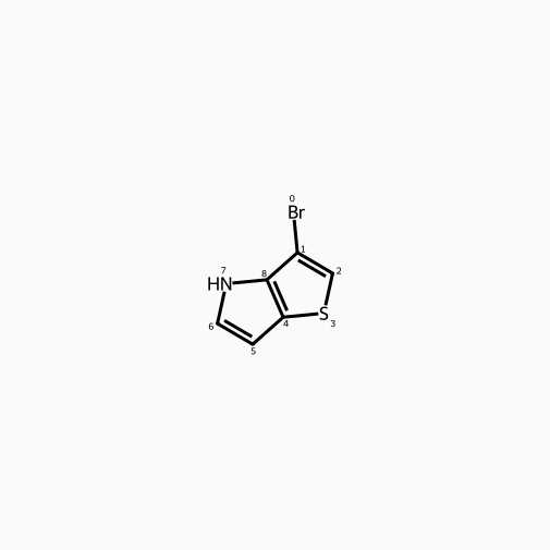 Brc1csc2cc[nH]c12